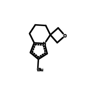 CC(C)(C)c1cc2n(c1)C1(CCC2)COC1